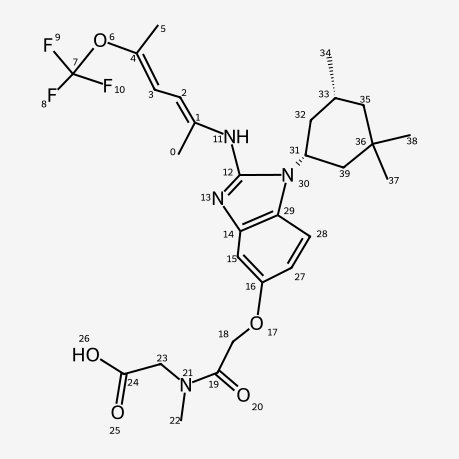 C/C(=C\C=C(/C)OC(F)(F)F)Nc1nc2cc(OCC(=O)N(C)CC(=O)O)ccc2n1[C@@H]1C[C@H](C)CC(C)(C)C1